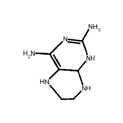 NC1=NC(N)=C2NCCNC2N1